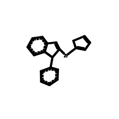 C1=CC[C]([Zr][C]2=Cc3ccccc3C2c2ccccc2)=C1